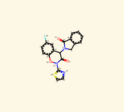 O=C1C(N2Cc3ccccc3C2=O)c2cc(F)ccc2ON1c1nccs1